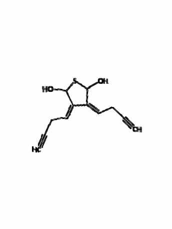 C#CCC=C1C(=CCC#C)C(O)SC1O